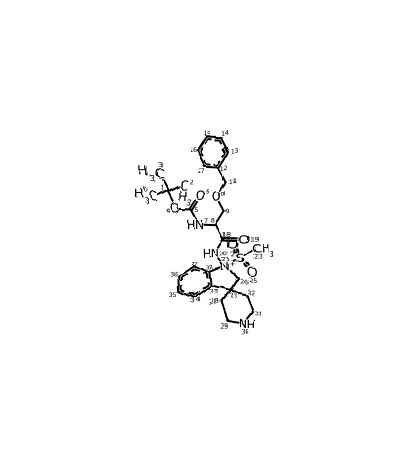 CC(C)(C)OC(=O)NC(COCc1ccccc1)C(=O)N[N+]1(S(C)(=O)=O)CC2(CCNCC2)c2ccccc21